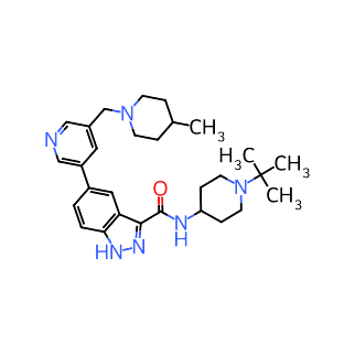 CC1CCN(Cc2cncc(-c3ccc4[nH]nc(C(=O)NC5CCN(C(C)(C)C)CC5)c4c3)c2)CC1